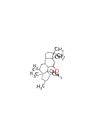 CC1CC(C)C2(C)C3C(=O)CC4(C)C(CCC4(C)C)C3CC(C)C2(C)C1